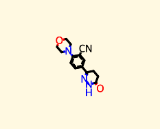 N#Cc1cc(C2=NNC(=O)CC2)ccc1N1CCOCC1